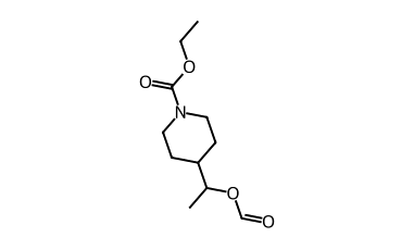 CCOC(=O)N1CCC(C(C)OC=O)CC1